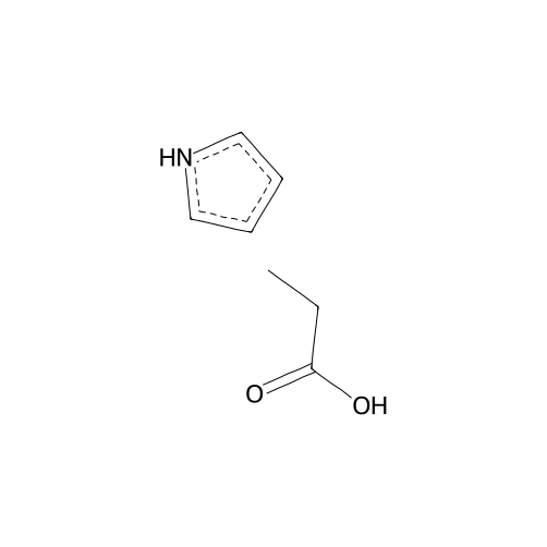 CCC(=O)O.c1cc[nH]c1